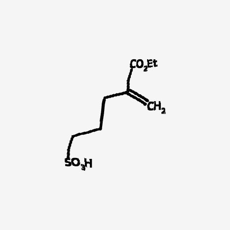 C=C(CCCS(=O)(=O)O)C(=O)OCC